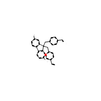 C=Cc1ccc(CC2(Cc3ccc(C=C)cc3)c3cc(Br)ccc3-c3ccc(Br)cc32)cc1